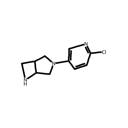 Clc1ccc(N2CC3CNC3C2)cn1